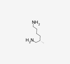 C[C@H](CN)CCCCN